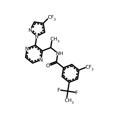 CC(NC(=O)c1cc(C(C)(F)F)cc(C(F)(F)F)c1)c1nccnc1-n1cc(C(F)(F)F)cn1